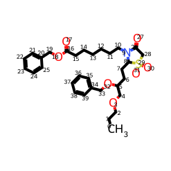 CCCOCC(CCC1N(CCCCCCC(=O)OCc2ccccc2)C(=O)CS1(=O)=O)OCc1ccccc1